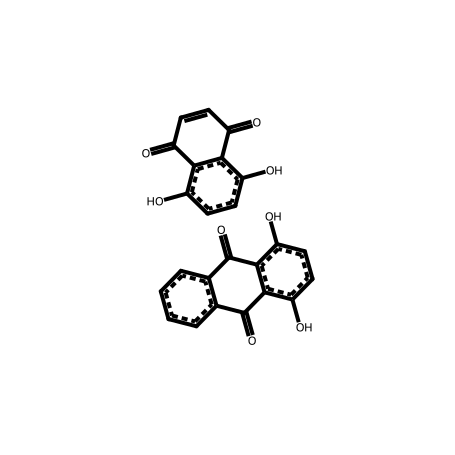 O=C1C=CC(=O)c2c(O)ccc(O)c21.O=C1c2ccccc2C(=O)c2c(O)ccc(O)c21